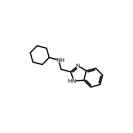 c1ccc2[nH]c(CNC3CCCCC3)nc2c1